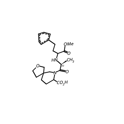 COC(=O)C(CCc1ccccc1)N[C@@H](C)C(=O)N1CC2(CCOC2)CCC1C(=O)O